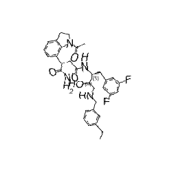 CCc1cccc(CNC[C@@H](O)[C@H](Cc2cc(F)cc(F)c2)NC(=O)CC(C(N)=O)c2cccc3c2N(C(C)=O)CC3)c1